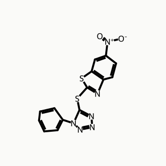 O=[N+]([O-])c1ccc2nc(Sc3nnnn3-c3ccccc3)sc2c1